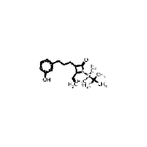 C=CC1C(CCCc2cccc(O)c2)C(=O)N1[Si](C)(C)C(C)(C)C